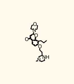 CCCc1c(OCCC2CN(C)CCN2)ccc2c(=O)cc(N3CCOCC3)oc12